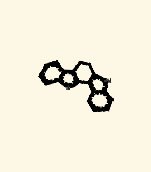 c1ccc2c3c([nH]c2c1)CCc1c-3sc2ccccc12